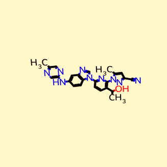 Cc1cnc(Nc2ccc3c(c2)ncn3-c2ccc(C(C)O)c(-n3nc(C#N)cc3C)n2)cn1